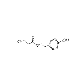 O=C(CCCl)OCCc1ccc(O)cc1